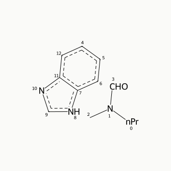 CCCN(C)C=O.c1ccc2[nH]cnc2c1